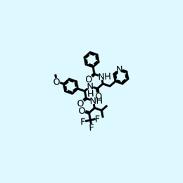 COc1ccc(C(NC(=O)C(Cc2cccnc2)NC(=O)c2ccccc2)C(=O)NC(C(=O)C(F)(F)F)C(C)C)cc1